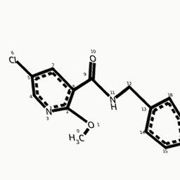 COc1ncc(Cl)cc1C(=O)NCc1ccccc1